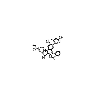 C=CC(=O)N1CCN(c2c(C#N)c(=O)n(-c3ccccc3C(C)C)c3cc(-c4cnc(OC)cc4C)c(Cl)cc23)[C@@H](C)C1